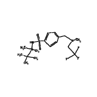 CN(Cc1ccc(S(=O)(=O)N[Si](C)(C)C(C)(C)C)cc1)CC(F)(F)F